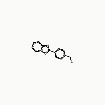 BrCc1ccc(-c2nc3ccccc3s2)cc1